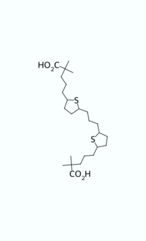 CC(C)(CCCC1CCC(CCCC2CCC(CCCC(C)(C)C(=O)O)S2)S1)C(=O)O